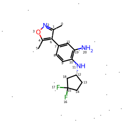 Cc1noc(C)c1-c1ccc(N[C@@H]2CCC(F)(F)C2)c(N)c1